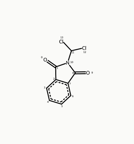 O=C1c2ccccc2C(=O)N1C(Cl)Cl